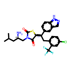 CC(C)C[C@@H](N)CN1C(=O)S/C(=C(/Cc2ccc(Cl)cc2C(F)(F)F)c2ccc3[nH]ncc3c2)C1=O